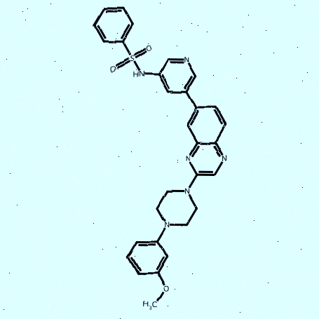 COc1cccc(N2CCN(c3cnc4ccc(-c5cncc(NS(=O)(=O)c6ccccc6)c5)cc4n3)CC2)c1